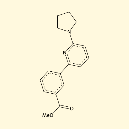 COC(=O)c1cccc(-c2cccc(N3CCCC3)n2)c1